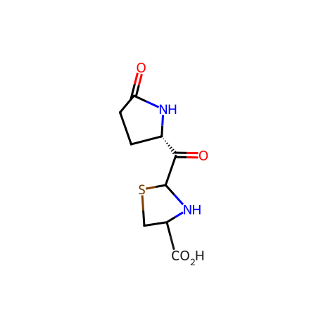 O=C1CC[C@@H](C(=O)C2NC(C(=O)O)CS2)N1